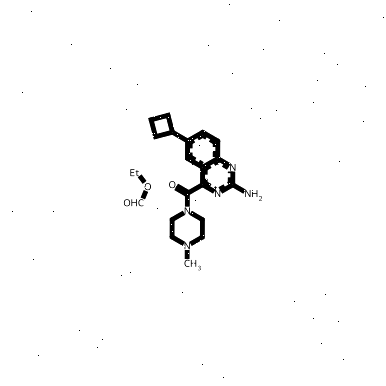 CCOC=O.CN1CCN(C(=O)c2nc(N)nc3ccc(C4CCC4)cc23)CC1